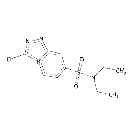 CCN(CC)S(=O)(=O)c1ccn2c(Cl)nnc2c1